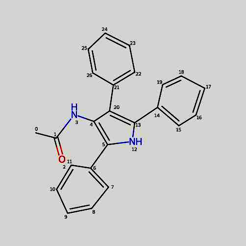 CC(=O)Nc1c(-c2ccccc2)[nH]c(-c2ccccc2)c1-c1ccccc1